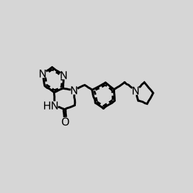 O=C1CN(Cc2cccc(CN3CCCC3)c2)c2ncncc2N1